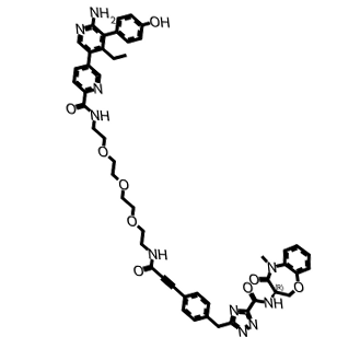 CCc1c(-c2ccc(C(=O)NCCOCCOCCOCCNC(=O)C#Cc3ccc(Cc4nc(C(=O)N[C@@H]5COc6ccccc6N(C)C5=O)n[nH]4)cc3)nc2)cnc(N)c1-c1ccc(O)cc1